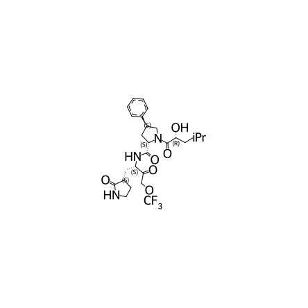 CC(C)C[C@@H](O)C(=O)N1C[C@H](c2ccccc2)C[C@H]1C(=O)N[C@@H](C[C@@H]1CCNC1=O)C(=O)COC(F)(F)F